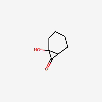 O=C1C2CCCCC12O